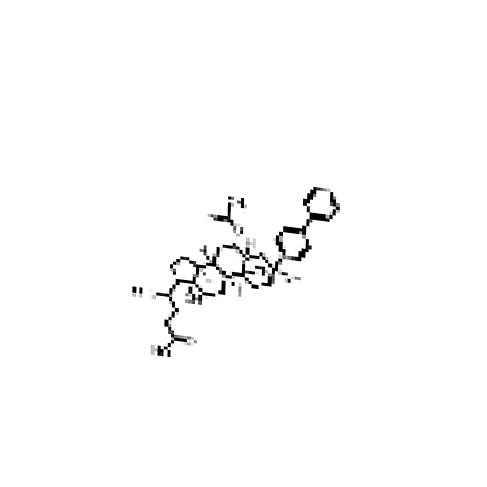 CC(=O)O[C@H]1C[C@@H]2[C@H](CC[C@]3(C)[C@@H]([C@H](C)CCC(=O)O)CC[C@@H]23)[C@@]2(C)CC[C@@](O)(c3ccc(-c4ccccc4)cc3)C[C@@H]12